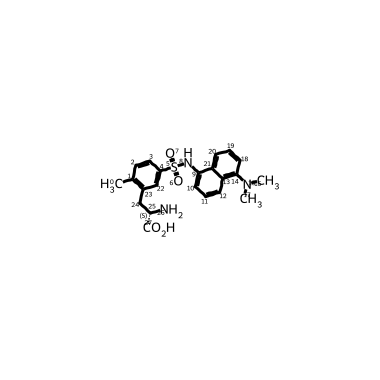 Cc1ccc(S(=O)(=O)Nc2cccc3c(N(C)C)cccc23)cc1C[C@H](N)C(=O)O